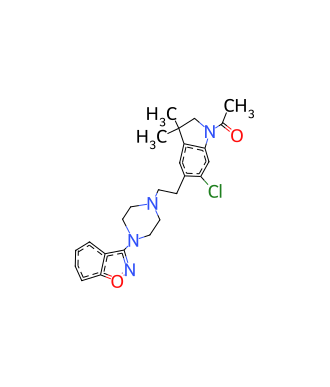 CC(=O)N1CC(C)(C)c2cc(CCN3CCN(c4noc5ccccc45)CC3)c(Cl)cc21